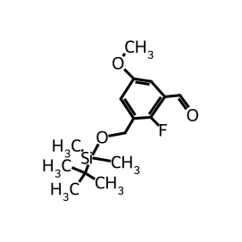 COc1cc(C=O)c(F)c(CO[Si](C)(C)C(C)(C)C)c1